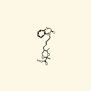 CC1OC(C)(C(=O)O)OCC1CCCCN1C(=O)CSc2ccccc21